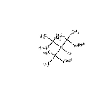 CCCCCCCC(C)(C)[Si]([O])(C(C)(C)CCCCCCC)C(C)(C)CCCCCCC